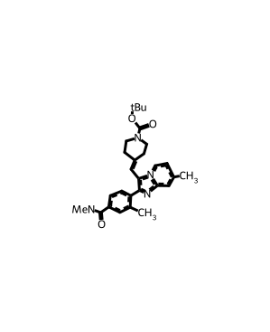 CNC(=O)c1ccc(-c2nc3cc(C)ccn3c2C=C2CCN(C(=O)OC(C)(C)C)CC2)c(C)c1